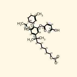 C=C(C)[C@@H]1CCC(C)=C[C@H]1c1c(O)cc(C(C)(C)CCCCCCO[N+](=O)[O-])cc1OC(=O)/C=C\C(=O)O